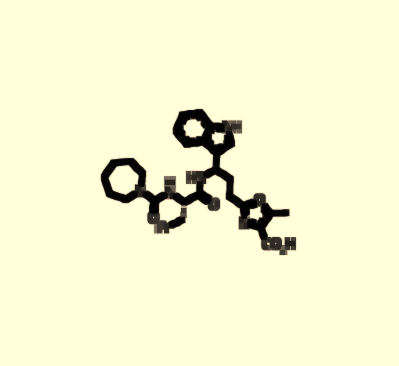 Cc1oc(CCC(NC(=O)[C@H](CC(C)C)NC(=O)N2CCCCCC2)c2c[nH]c3ccccc23)nc1C(=O)O